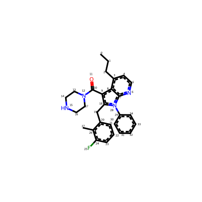 CCCc1ccnc2c1c(C(=O)N1CCNCC1)c(Cc1cccc(F)c1C)n2-c1ccccc1